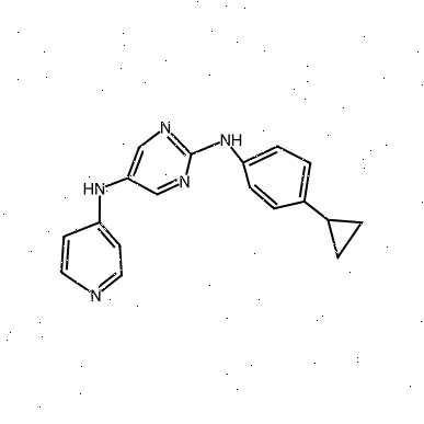 c1cc(Nc2cnc(Nc3ccc(C4CC4)cc3)nc2)ccn1